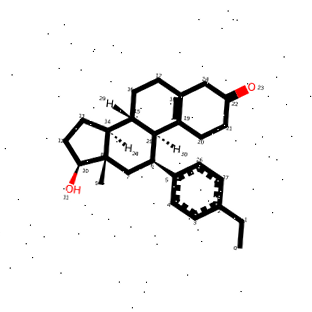 CCc1ccc([C@H]2C[C@]3(C)[C@@H](O)CC[C@H]3[C@@H]3CCC4=C(CCC(=O)C4)[C@H]32)cc1